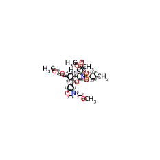 COCCCN1CCOc2ccc(CO[C@H]3CN(S(=O)(=O)c4ccc(C)cc4)[C@H](CC(C)(C)C(=O)OC)C[C@@H]3c3ccc(COCCOC)cc3)cc21